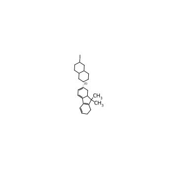 CC1(C)C2=C(C=CCC2)C2=CC=C([C@H]3CCC4CC(I)CCC4C3)CC21